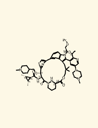 CO[C@@H](C)c1ncc(N2CCN(C)CC2)cc1-c1c2c3cc(ccc3n1CCOC(C)C)-c1csc(n1)[C@@H](OCC1CCN(C)CC1)[C@H](NC(=O)[C@H]1[C@H](C)[C@@H]1C)C(=O)N1CCC[C@H](N1)C(=O)OCC(C)(C)C2